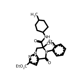 CCOC(=O)c1cc2n(n1)CC(C)(C(=O)NC1CCC(C)CC1)N(c1ccccc1CC)C2=O